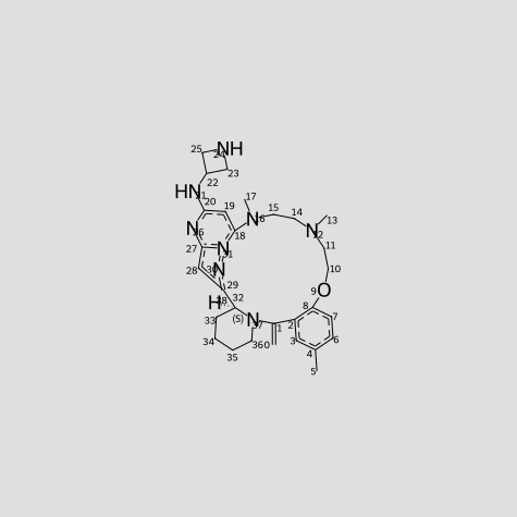 C=C1c2cc(C)ccc2OCCN(C)CCN(C)c2cc(NC3CNC3)nc3cc(nn23)[C@@H]2CCCCN12